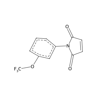 O=C1C=CC(=O)N1c1cccc(OC(F)(F)F)c1